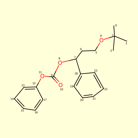 CC(C)(C)OCCC(OC(=O)Oc1ccccc1)c1ccccc1